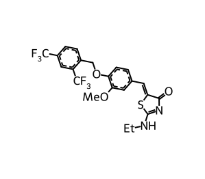 CCNC1=NC(=O)C(=Cc2ccc(OCc3ccc(C(F)(F)F)cc3C(F)(F)F)c(OC)c2)S1